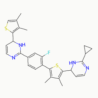 Cc1csc(C2C=CN=C(c3ccc(-c4sc(C5C=CN=C(C6CC6)N5)c(C)c4C)c(F)c3)N2)c1C